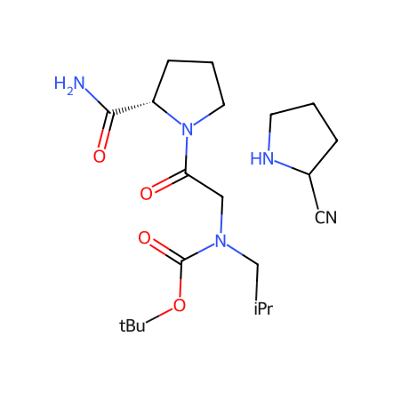 CC(C)CN(CC(=O)N1CCC[C@H]1C(N)=O)C(=O)OC(C)(C)C.N#CC1CCCN1